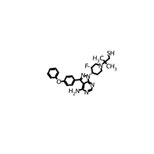 CC(C)(CS)N1CC[C@H](n2nc(-c3ccc(Oc4ccccc4)cc3)c3c(N)ncnc32)[C@H](F)C1